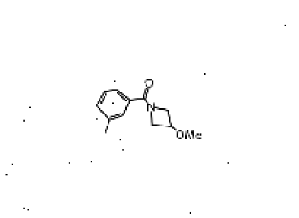 COC1CN(C(=O)c2cccc(C)c2)C1